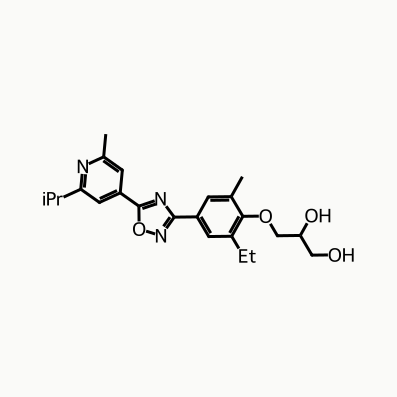 CCc1cc(-c2noc(-c3cc(C)nc(C(C)C)c3)n2)cc(C)c1OCC(O)CO